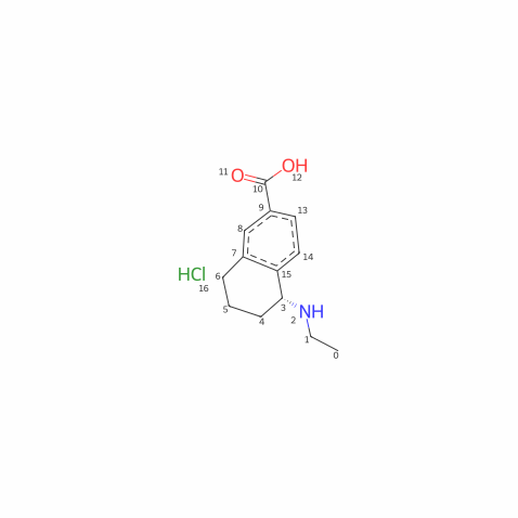 CCN[C@@H]1CCCc2cc(C(=O)O)ccc21.Cl